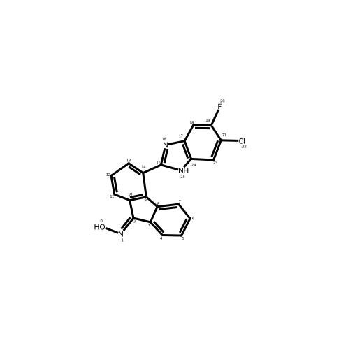 O/N=C1/c2ccccc2-c2c1cccc2-c1nc2cc(F)c(Cl)cc2[nH]1